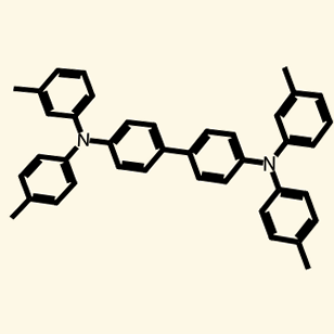 Cc1ccc(N(c2ccc(-c3ccc(N(c4ccc(C)cc4)c4cccc(C)c4)cc3)cc2)c2cccc(C)c2)cc1